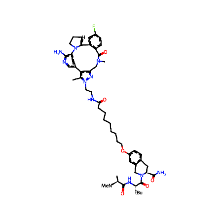 CN[C@@H](C)C(=O)N[C@H](C(=O)N1Cc2cc(OCCCCCCCCC(=O)NCCn3nc4c(c3C)-c3cnc(N)c(c3)N3CCC[C@@H]3c3cc(F)ccc3C(=O)N(C)C4)ccc2C[C@H]1C(N)=O)C(C)(C)C